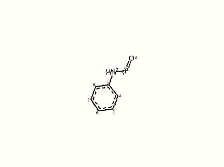 O=PNc1ccccc1